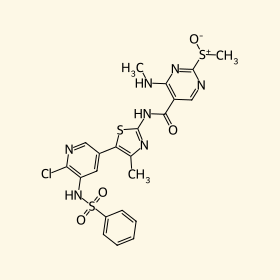 CNc1nc([S+](C)[O-])ncc1C(=O)Nc1nc(C)c(-c2cnc(Cl)c(NS(=O)(=O)c3ccccc3)c2)s1